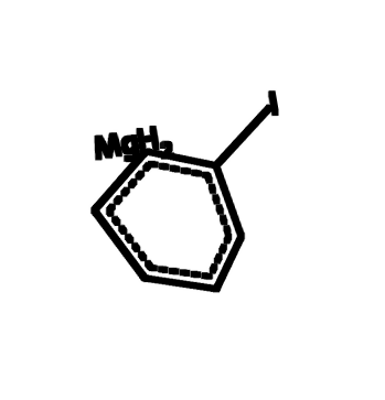 Ic1ccccc1.[MgH2]